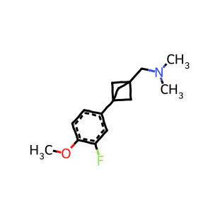 COc1ccc(C23CC(CN(C)C)(C2)C3)cc1F